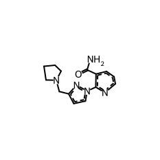 NC(=O)c1cccnc1-n1ccc(CN2CCCC2)n1